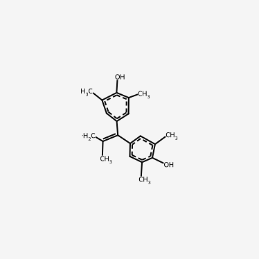 [CH2]C(C)=C(c1cc(C)c(O)c(C)c1)c1cc(C)c(O)c(C)c1